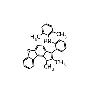 CC1=C(c2ccccc2Nc2c(C)cccc2C)c2ccc3sc4ccccc4c3c2C1C